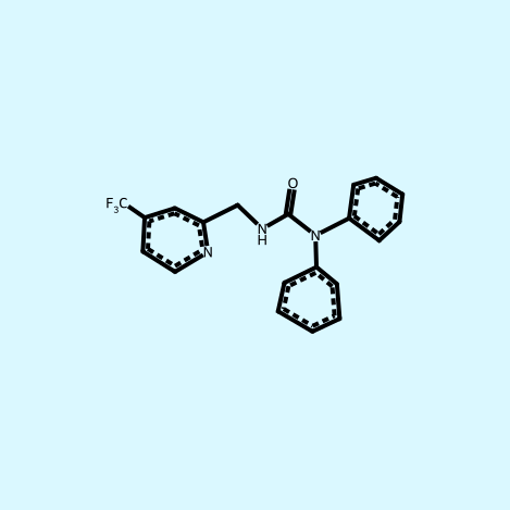 O=C(NCc1cc(C(F)(F)F)ccn1)N(c1ccccc1)c1ccccc1